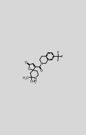 CC1(C)CC2(CCN1)OC(=O)C=C2C(=O)N1CCc2ccc(C(F)(F)F)cc2C1